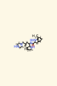 Cc1cccc2c1NC(C(=O)NC(CCCN1CCNCC1)C1NCCCC1C)C2